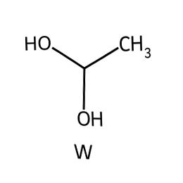 CC(O)O.[W]